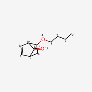 CCCCOC1CC2C=CC1C2=O